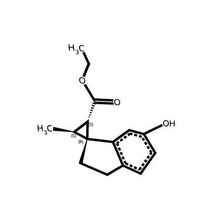 CCOC(=O)[C@H]1[C@H](C)[C@]12CCc1ccc(O)cc12